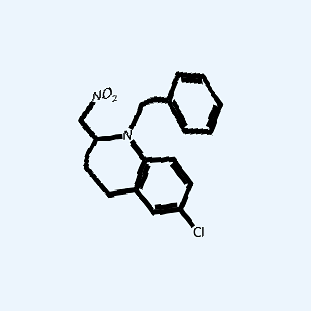 O=[N+]([O-])CC1CCc2cc(Cl)ccc2N1Cc1ccccc1